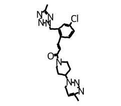 CC1=CCN(C2CCN(C(=O)/C=C/c3ccc(Cl)cc3Cn3nnc(C)n3)CC2)N=N1